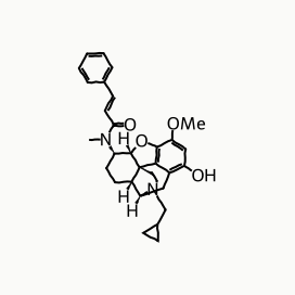 COc1cc(O)c2c3c1O[C@H]1[C@H](N(C)C(=O)C=Cc4ccccc4)CC[C@H]4[C@@H](C2)N(CC2CC2)CC[C@@]341